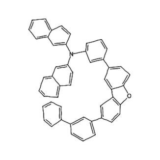 c1ccc(-c2cccc(-c3ccc4oc5ccc(-c6cccc(N(c7ccc8ccccc8c7)c7ccc8ccccc8c7)c6)cc5c4c3)c2)cc1